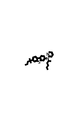 CCCCC(C)N(c1ccc2c(c1)sc1cc(C(C)(C)CCC)ccc12)c1ccccn1